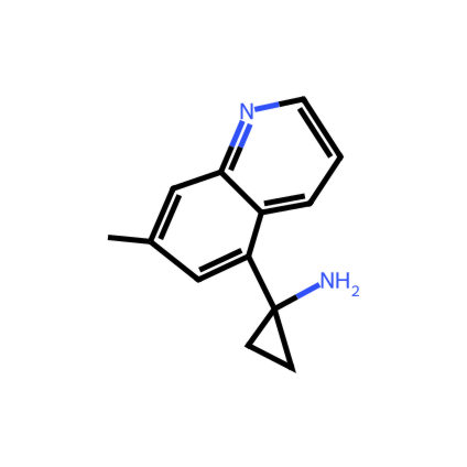 Cc1cc(C2(N)CC2)c2cccnc2c1